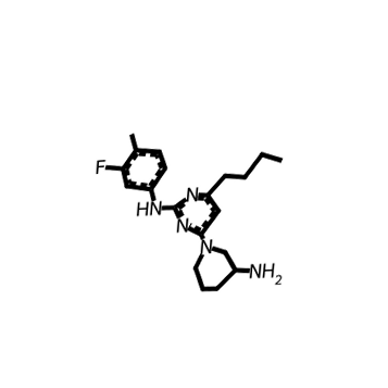 CCCCc1cc(N2CCCC(N)C2)nc(Nc2ccc(C)c(F)c2)n1